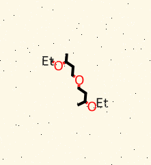 CCOC(C)CCOCCC(C)OCC